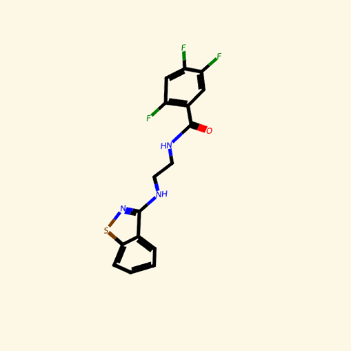 O=C(NCCNc1nsc2ccccc12)c1cc(F)c(F)cc1F